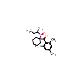 CCC(C)[P](=O)C1(C(=O)c2c(C)cc(C)cc2C)CCCCC1